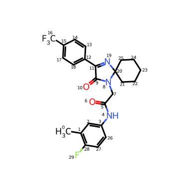 Cc1cc(NC(=O)CN2C(=O)C(c3ccc(C(F)(F)F)cc3)=NC23CCCCC3)ccc1F